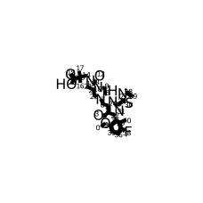 COC(=O)C1=C(CN2CCN3C(=O)N(CC(C)(C)C(=O)O)CC3C2)NC(c2nccs2)=N[C@H]1c1cccc(F)c1C